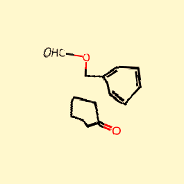 O=C1CCCC1.O=COCc1ccccc1